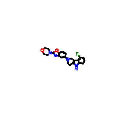 Fc1cccc2[nH]c3c(c12)CN(c1ccc2oc(N4CCOCC4)nc2c1)CC3